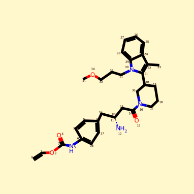 C=COC(=O)Nc1ccc(C[C@@H](N)CC(=O)N2CCCC(c3c(C)c4ccccc4n3CCCOC)C2)cc1